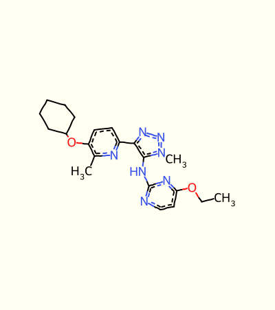 CCOc1ccnc(Nc2c(-c3ccc(OC4CCCCC4)c(C)n3)nnn2C)n1